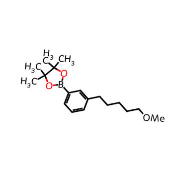 COCCCCCc1cccc(B2OC(C)(C)C(C)(C)O2)c1